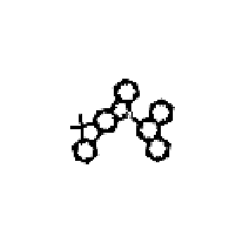 CC1(C)c2ccccc2-c2cc3c(cc21)c1ccccc1n3-c1cc2ccccc2c2ccccc12